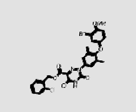 COc1ccc(Oc2c(C)cc(-n3nc(C(=O)OCc4ccccc4Cl)c(=O)[nH]c3=O)cc2C)cc1Br